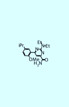 CCN(CC)c1nc(C(N)=O)cc(-c2cc(C(C)C)ccc2OC)n1